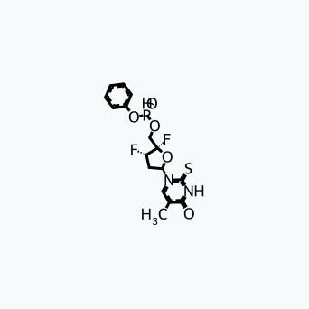 Cc1cn([C@H]2C[C@H](F)[C@@](F)(CO[PH](=O)Oc3ccccc3)O2)c(=S)[nH]c1=O